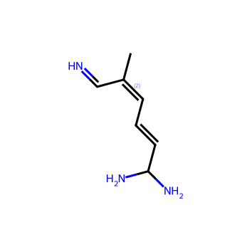 C/C(C=N)=C/C=CC(N)N